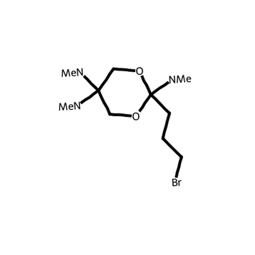 CNC1(NC)COC(CCCBr)(NC)OC1